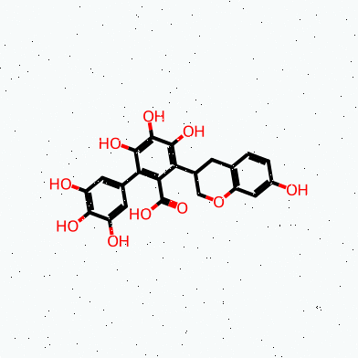 O=C(O)c1c(-c2cc(O)c(O)c(O)c2)c(O)c(O)c(O)c1C1COc2cc(O)ccc2C1